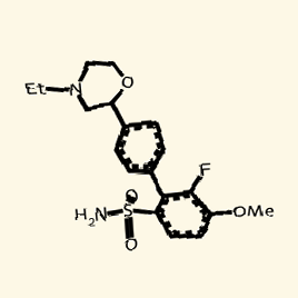 CCN1CCOC(c2ccc(-c3c(S(N)(=O)=O)ccc(OC)c3F)cc2)C1